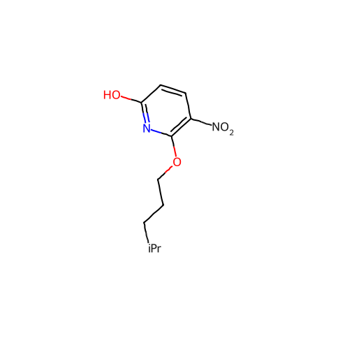 CC(C)CCCOc1nc(O)ccc1[N+](=O)[O-]